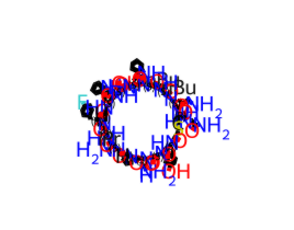 CCCC[C@H]1C(=O)N(C)[C@@H](CCCC)C(=O)N[C@@H](CCCN)C(=O)N[C@H](C(=O)NCC(N)=O)CSCC(=O)N[C@@H](Cc2ccc(O)cc2)C(=O)N(C)[C@@H](C)C(=O)N[C@@H](CC(N)=O)C(=O)N2CCC[C@H]2C(=O)N[C@@H](CN)C(=O)N[C@@H](CC(C)C)C(=O)N2C[C@H](Cc3ccc(F)cc3)C[C@H]2C(=O)N[C@@H](Cc2c[nH]c3ccccc23)C(=O)N[C@@H](CO)C(=O)N[C@@H](Cc2c[nH]c3ccccc23)C(=O)N1C